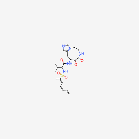 C=C/C=C\C=C(/C)S(=O)(=O)NC(C(=O)NC1Cc2cncn2CCNC(=O)C1=O)C(C)C